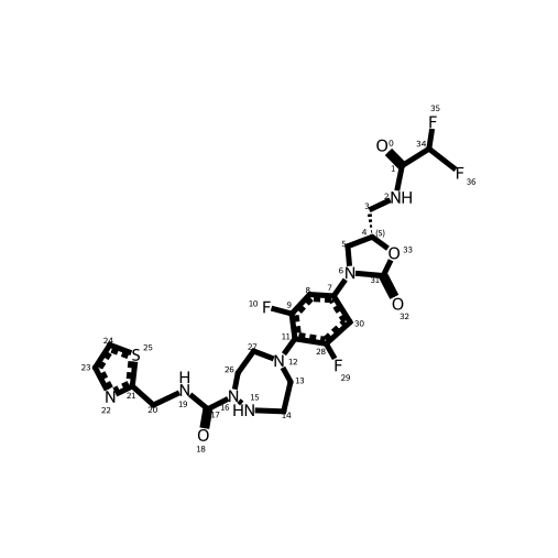 O=C(NC[C@H]1CN(c2cc(F)c(N3CCNN(C(=O)NCc4nccs4)CC3)c(F)c2)C(=O)O1)C(F)F